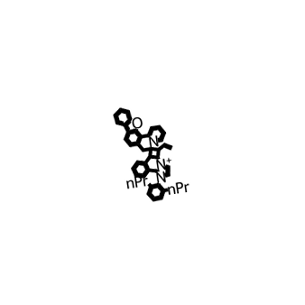 C=CC1C2C(c3ccccc3-c3n(-c4c(CCC)cccc4CCC)cc[n+]32)C12Cc1ccc3c(oc4ccccc43)c1-c1cccc[n+]12